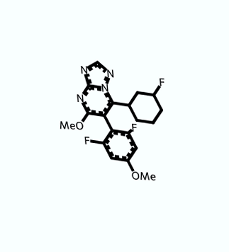 COc1cc(F)c(-c2c(OC)nc3ncnn3c2C2CCCC(F)C2)c(F)c1